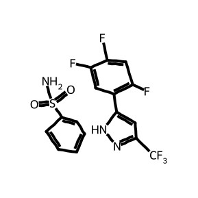 Fc1cc(F)c(-c2cc(C(F)(F)F)n[nH]2)cc1F.NS(=O)(=O)c1ccccc1